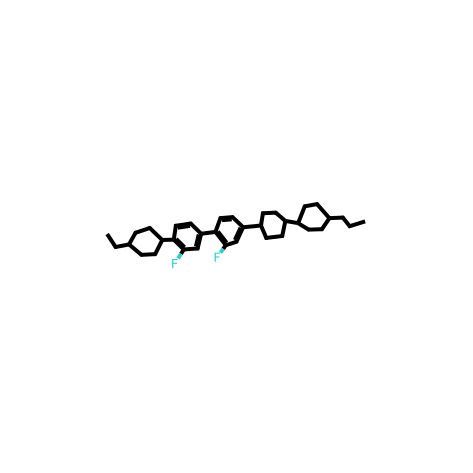 CCCC1CCC(C2CCC(c3ccc(-c4ccc(C5CCC(CC)CC5)c(F)c4)c(F)c3)CC2)CC1